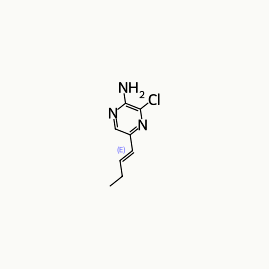 CC/C=C/c1cnc(N)c(Cl)n1